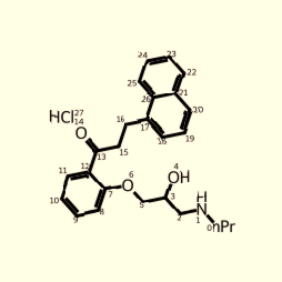 CCCNCC(O)COc1ccccc1C(=O)CCc1cccc2ccccc12.Cl